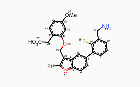 CCc1oc2ccc(-c3cccc(CN)c3F)cc2c1COc1cc(OC)ccc1CC(=O)O